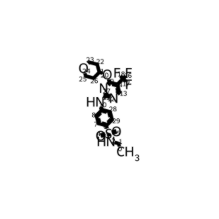 CCNS(=O)(=O)c1ccc(Nc2ncc(C(F)(F)F)c(OC3CCOCC3)n2)cc1